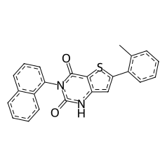 Cc1ccccc1-c1cc2[nH]c(=O)n(-c3cccc4ccccc34)c(=O)c2s1